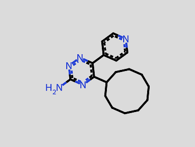 Nc1nnc(-c2ccncc2)c(C2CCCCCCCCC2)n1